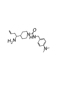 C=CCC(N)C1CCN(C(=O)NCc2ccc(N(C)C)cc2)CC1